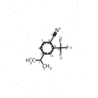 [CH2]C(C)c1ccc(C#N)c(C(F)(F)F)c1